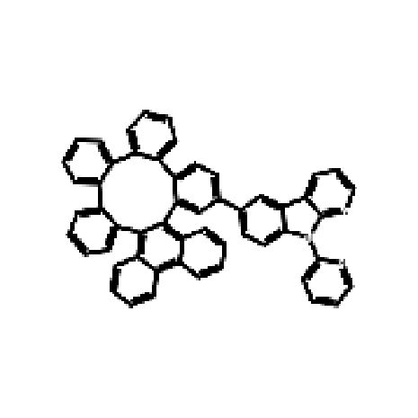 c1ccc(-n2c3ccc(-c4ccc5c6ccccc6c6ccccc6c6ccccc6c6c7ccccc7c7ccccc7c6c5c4)cc3c3cccnc32)nc1